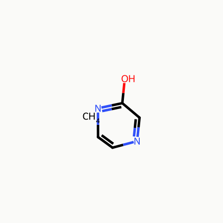 C.Oc1cnccn1